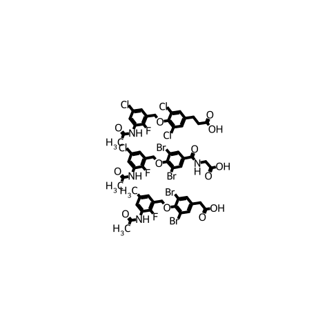 CC(=O)Nc1cc(C)cc(COc2c(Br)cc(CC(=O)O)cc2Br)c1F.CC(=O)Nc1cc(Cl)cc(COc2c(Br)cc(C(=O)NCC(=O)O)cc2Br)c1F.CC(=O)Nc1cc(Cl)cc(COc2c(Cl)cc(CCC(=O)O)cc2Cl)c1F